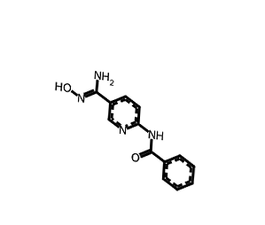 N/C(=N\O)c1ccc(NC(=O)c2ccccc2)nc1